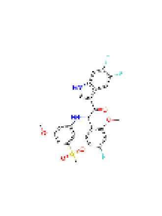 COc1cc(NC(C(=O)c2c[nH]c3cc(F)c(F)cc23)c2ccc(F)cc2OC)cc(S(C)(=O)=O)c1